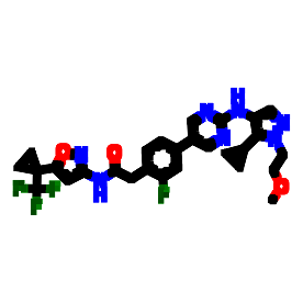 COCCn1ncc(Nc2ncc(-c3ccc(CC(=O)Nc4cc(C5(C(F)(F)F)CC5)on4)c(F)c3)cn2)c1C1CC1